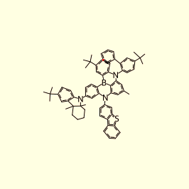 Cc1cc2c3c(c1)N(c1ccc(C(C)(C)C)cc1-c1ccccc1)c1ccc(C(C)(C)C)cc1B3c1ccc(N3c4ccc(C(C)(C)C)cc4C4(C)CCCCC34C)cc1N2c1ccc2c(c1)sc1ccccc12